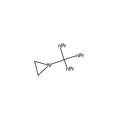 CCCC(CCC)(CCC)N1CC1